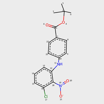 CC(C)(C)OC(=O)c1ccc(Nc2cccc(Cl)c2[N+](=O)[O-])cc1